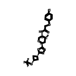 O=C(COc1ccc(Cl)cc1)N[C@H]1CO[C@H](c2nnc([C@H]3C[C@@H](OC(F)(F)F)C3)o2)C[C@H]1F